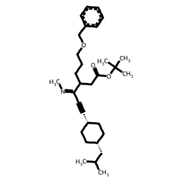 CN=C(C#C[C@H]1CC[C@@H](CC(C)C)CC1)C(CCCOCc1ccccc1)CC(=O)OC(C)(C)C